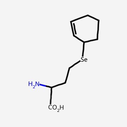 NC(CC[Se]C1C=CCCC1)C(=O)O